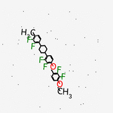 CCOc1ccc(COc2ccc(C3CCC(c4ccc(C)c(F)c4F)CC3)c(F)c2F)c(F)c1F